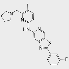 Cc1ccc(Nc2cc3nc(-c4cccc(F)c4)sc3cn2)nc1CN1CCCC1